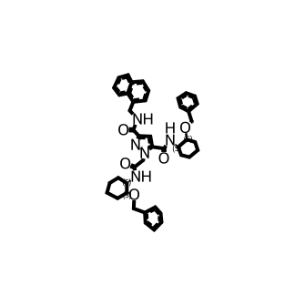 O=C(Cn1nc(C(=O)NCc2cccc3ccccc23)cc1C(=O)N[C@H]1CCCC[C@@H]1OCc1ccccc1)N[C@H]1CCCC[C@@H]1OCc1ccccc1